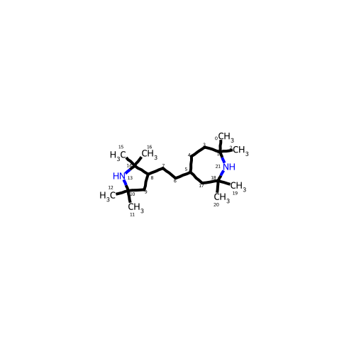 CC1(C)CCC(CCC2CC(C)(C)NC2(C)C)CC(C)(C)N1